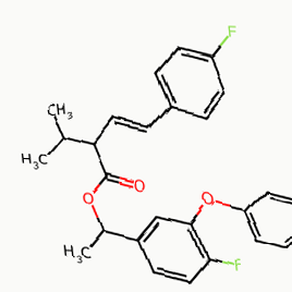 CC(OC(=O)C(/C=C/c1ccc(F)cc1)C(C)C)c1ccc(F)c(Oc2ccccc2)c1